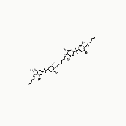 Bc1cc(C(C)(C)c2cc(Br)c(OCCCCOc3c(Br)cc(C(C)(C)c4cc(Br)c(OCCC=C)c(Br)c4)cc3Br)c(Br)c2)cc(Br)c1OCCC=C